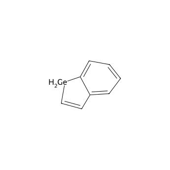 [CH]1=Cc2cccc[c]2[GeH2]1